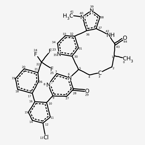 CC1CCCC(n2cnc(-c3cc(Cl)ccc3-c3cccc(C(F)(F)F)c3)cc2=O)c2cc(ccn2)-c2c(cnn2C)NC1=O